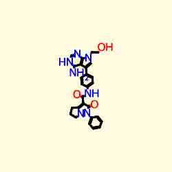 NC1NC=Nc2c1c(-c1ccc(NC(=O)c3c4n(n(-c5ccccc5)c3=O)CCC4)cc1)cn2CCO